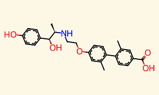 Cc1cc(OCCN[C@H](C)[C@@H](O)c2ccc(O)cc2)ccc1-c1ccc(C(=O)O)cc1C